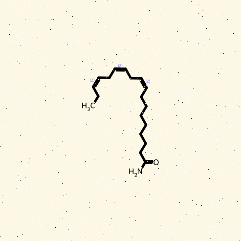 CC/C=C\C/C=C\C/C=C\CCCCCCCC(N)=O